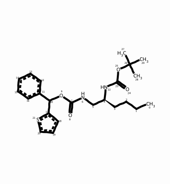 CCCC[C@@H](CNC(=O)OC(c1ccccc1)c1cccs1)NC(=O)OC(C)(C)C